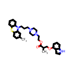 CC(COc1cccc2[nH]ccc12)C(=O)OCCN1CCN(CCCN2c3ccccc3Sc3ccc(C(F)(F)F)cc32)CC1